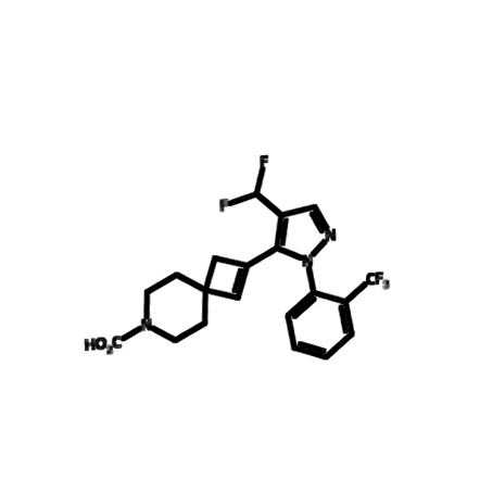 O=C(O)N1CCC2(C=C(c3c(C(F)F)cnn3-c3ccccc3C(F)(F)F)C2)CC1